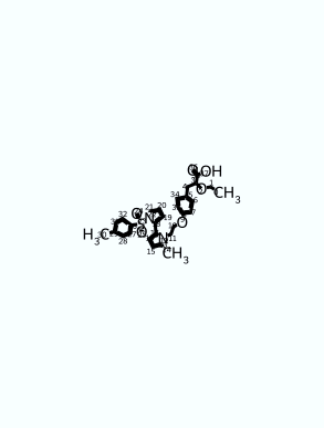 CCOC(Cc1ccc(OCCn2c(C)ccc2-c2cccn2S(=O)(=O)c2ccc(C)cc2)cc1)C(=O)O